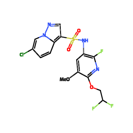 COc1cc(NS(=O)(=O)c2cnn3cc(Cl)ccc23)c(F)nc1OCC(F)F